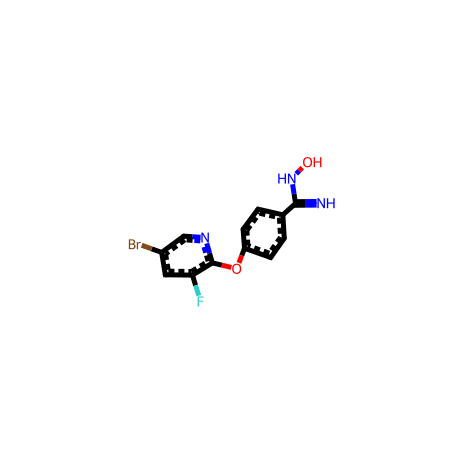 N=C(NO)c1ccc(Oc2ncc(Br)cc2F)cc1